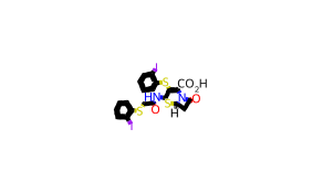 O=C(CSc1ccccc1I)NC1S[C@@H]2CC(=O)N2C(C(=O)O)=C1Sc1ccccc1I